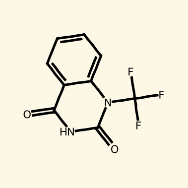 O=c1[nH]c(=O)n(C(F)(F)F)c2ccccc12